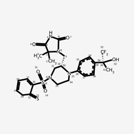 CC1(C)C(=O)NC(=O)N1C[C@H]1CN(S(=O)(=O)C2=CC=CCC2=S)CCN1c1ccc([C@](C)(O)C(F)(F)F)cc1